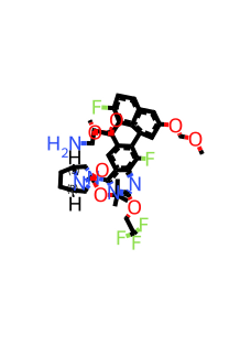 COCOc1cc(-c2c(C(=O)OC)cc3c(N4C[C@H]5CC[C@@H](C4)N5C(=O)OC(C)(C)C)nc(OCC(F)(F)F)nc3c2F)c2c(CCCN)c(F)ccc2c1